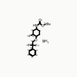 CC(C)(C)OC(=O)NC1CCC(OCC(F)(F)c2ccccc2)C(F)C1.N